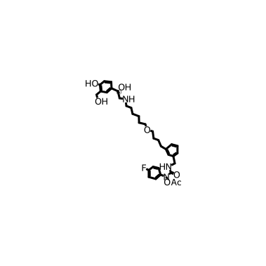 CC(=O)ON(C(=O)NCc1cccc(CCCCOCCCCCCNC[C@@H](O)c2ccc(O)c(CO)c2)c1)c1ccc(F)cc1